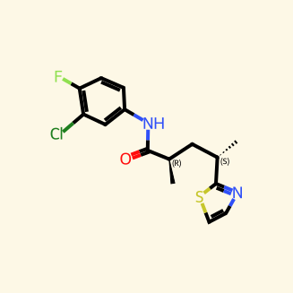 C[C@H](C[C@H](C)c1nccs1)C(=O)Nc1ccc(F)c(Cl)c1